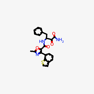 Cc1nc(-c2cccc3ccsc23)c(C(=O)NC(Cc2ccccc2)C(=O)C(N)=O)o1